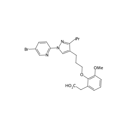 COc1cccc(CC(=O)O)c1OCCCc1cn(-c2ccc(Br)cn2)nc1C(C)C